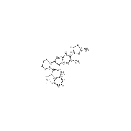 Cc1cn2nc([C@@H]3CCCCN3C(=O)C(CN)c3ccccc3N)cc2nc1N1CC[C@H](N)C1